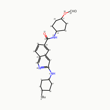 CC(C)(C)C1CCC(Nc2cc3cc(C(=O)NC4CCC(OC=O)CC4)ccc3cn2)CC1